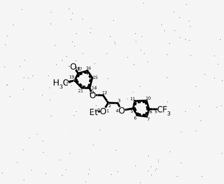 CCOC(COc1ccc(C(F)(F)F)cc1)COc1ccc([O])c(C)c1